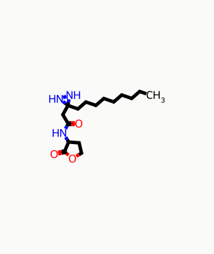 CCCCCCCCCC1(CC(=O)NC2CCOC2=O)NN1